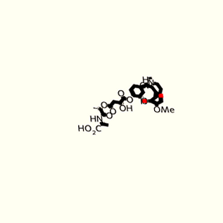 COc1ccc2c3c1O[C@@H]1C[C@@](O)(CC=C1OC(=O)[C@@H](O)CC(=O)O[C@@H](C)C(=O)N[C@@H](C)C(=O)O)[C@@H](C2)N(C)CCC3